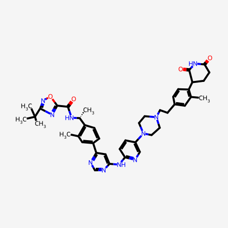 Cc1cc(CCN2CCN(c3ccc(Nc4cc(-c5ccc([C@@H](C)NC(=O)c6nc(C(C)(C)C)no6)c(C)c5)ncn4)nc3)CC2)ccc1C1CCC(=O)NC1=O